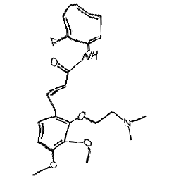 COc1ccc(/C=C/C(=O)Nc2ccccc2F)c(OCCN(C)C)c1OC